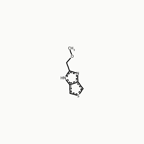 COCc1nc2cscc2[nH]1